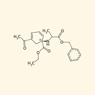 CCOC(=O)[C@@]1(NC(C)C(=O)OCc2ccccc2)C=CC=C(C(C)=O)C1